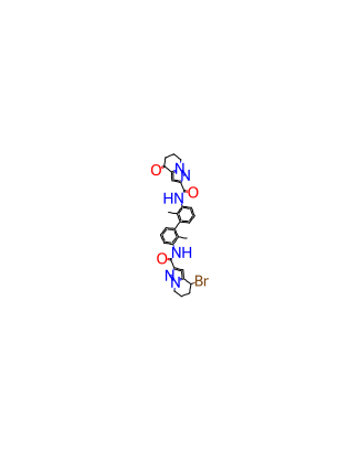 Cc1c(NC(=O)c2cc3n(n2)CCCC3=O)cccc1-c1cccc(NC(=O)c2cc3n(n2)CCCC3Br)c1C